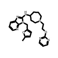 Cc1ccc(Cn2c(NC3CCCN(CCOc4ncccn4)CC3)nc3cccnc32)o1